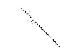 CCC=CCC=CCC=CCC=CCC=CCC=CCCC(=O)N[C@@H](CCCNC(=O)C=CC(=O)OCC)C(=O)O